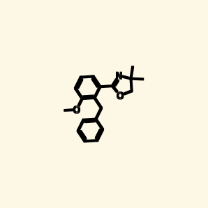 COc1cccc(C2=NC(C)(C)CO2)c1Cc1ccccc1